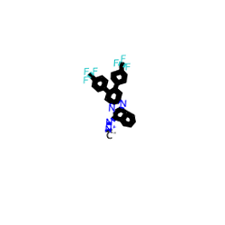 [C-]#[N+]/N=C1\c2ccccc2-c2nc3cc(-c4ccc(C(F)(F)F)cc4)c(-c4ccc(C(F)(F)F)cc4)cc3nc21